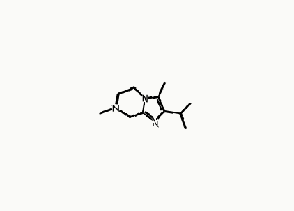 Cc1c(C(C)C)nc2n1CCN(C)C2